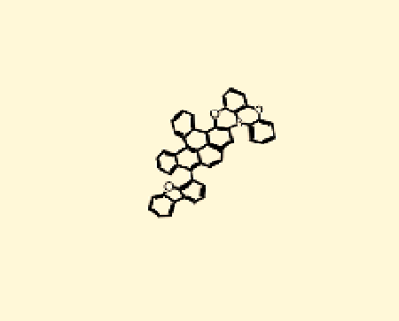 c1ccc2c(c1)Oc1cccc3c1B2c1cccc(-c2ccccc2-c2c4ccccc4c(-c4cccc5c4oc4ccccc45)c4ccccc24)c1O3